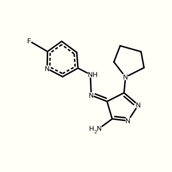 NC1=NN=C(N2CCCC2)/C1=N\Nc1ccc(F)nc1